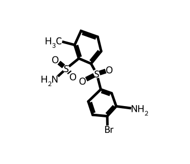 Cc1cccc(S(=O)(=O)c2ccc(Br)c(N)c2)c1S(N)(=O)=O